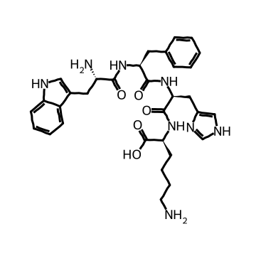 NCCCC[C@H](NC(=O)[C@H](Cc1c[nH]cn1)NC(=O)[C@H](Cc1ccccc1)NC(=O)[C@@H](N)Cc1c[nH]c2ccccc12)C(=O)O